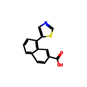 O=C(O)c1ccc2cccc(-c3cncs3)c2c1